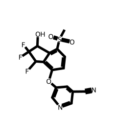 CS(=O)(=O)c1ccc(Oc2cncc(C#N)c2)c2c1C(O)C(F)(F)C2F